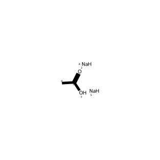 CC(=O)O.[NaH].[NaH]